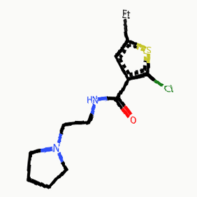 CCc1cc(C(=O)NCCN2CCCC2)c(Cl)s1